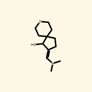 CN(C)/C=C1\CCC2(CCOCC2)C1O